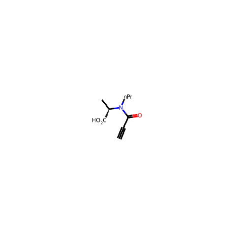 C#CC(=O)N(CCC)[C@H](C)C(=O)O